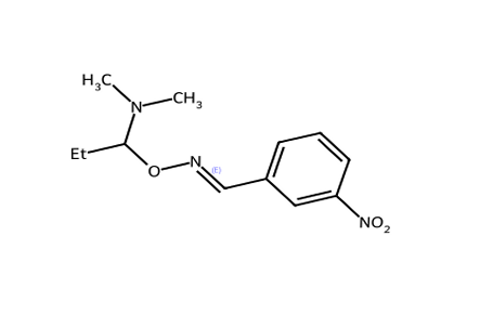 CCC(O/N=C/c1cccc([N+](=O)[O-])c1)N(C)C